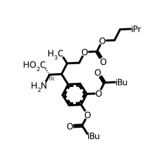 CCC(C)C(=O)Oc1ccc(C(C(C)COC(=O)OCCC(C)C)[C@H](N)C(=O)O)cc1OC(=O)C(C)CC